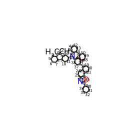 CC1(C)c2ccccc2-c2ccc(N(c3ccc(-c4cccc5c4ccc4nc(-c6ccccc6)oc45)cc3)c3ccccc3-c3ccccc3)cc21